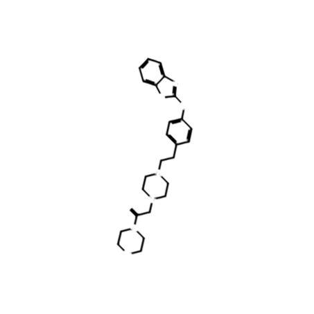 O=C(CN1CCN(CCc2ccc(Oc3nc4ccccc4s3)cc2)CC1)N1CCOCC1